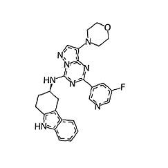 Fc1cncc(-c2nc(N[C@@H]3CCc4[nH]c5ccccc5c4C3)n3ncc(N4CCOCC4)c3n2)c1